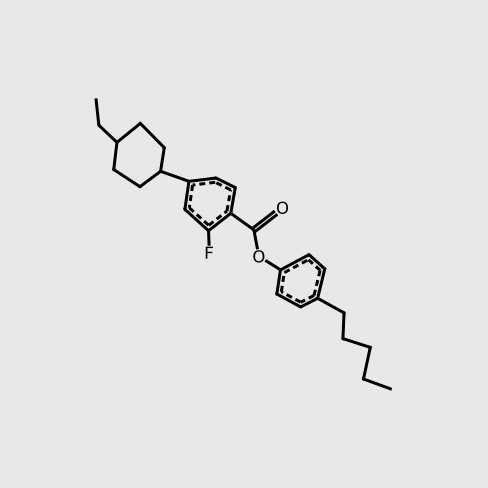 CCCCCc1ccc(OC(=O)c2ccc(C3CCC(CC)CC3)cc2F)cc1